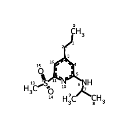 CC[CH]c1cc(NC(C)C)nc(S(C)(=O)=O)c1